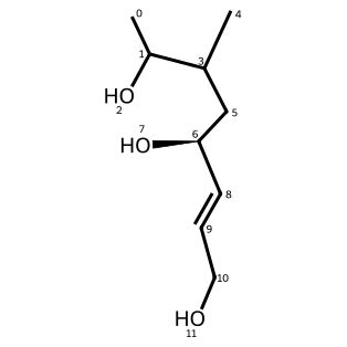 CC(O)C(C)C[C@H](O)/C=C/CO